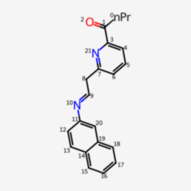 CCCC(=O)c1cccc(CC=Nc2ccc3ccccc3c2)n1